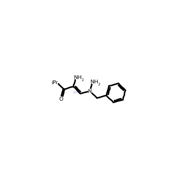 CC(C)C(=O)/C(N)=C/N(N)Cc1ccccc1